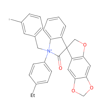 [CH]c1cccc(C[N+]2(c3ccc(CC)cc3)C(=O)C3(COc4cc5c(cc43)OCO5)c3ccccc32)c1